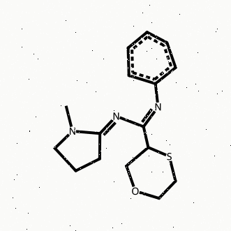 CN1CCCC1=NC(=Nc1ccccc1)C1COCCS1